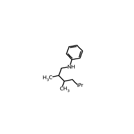 CC(C)CC(C)C(C)CNc1ccccc1